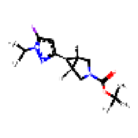 CC(C)n1nc([C@H]2[C@@H]3CN(C(=O)OC(C)(C)C)C[C@@H]32)cc1I